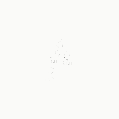 NC(=O)c1ccc(CNC(=O)c2nn(-c3ccc(Cl)cc3Cl)c(-c3ccc(Cl)cc3)c2Cc2nn[nH]n2)cc1